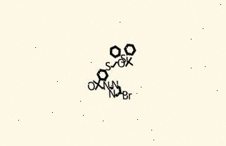 CC(C)(C)[Si](OCCSc1ccc2c(c1)N(c1ncc(Br)cn1)CC21COC1)(c1ccccc1)c1ccccc1